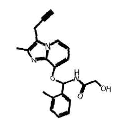 C#CCc1c(C)nc2c(OC(NC(=O)CO)c3ccccc3C)cccn12